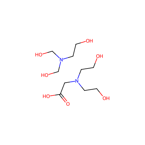 O=C(O)CN(CCO)CCO.OCCN(CO)CO